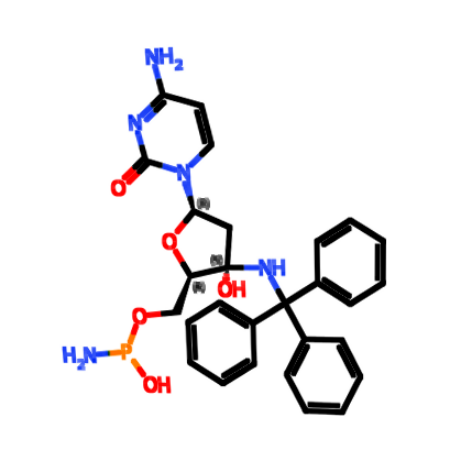 Nc1ccn([C@H]2C[C@@](O)(NC(c3ccccc3)(c3ccccc3)c3ccccc3)[C@@H](COP(N)O)O2)c(=O)n1